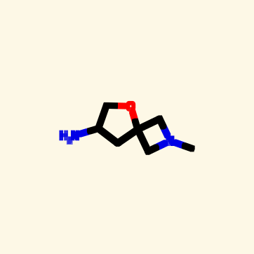 CN1CC2(CC(N)CO2)C1